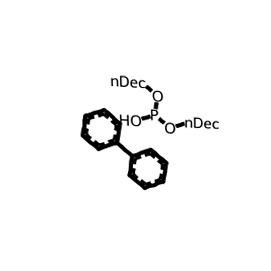 CCCCCCCCCCOP(O)OCCCCCCCCCC.c1ccc(-c2ccccc2)cc1